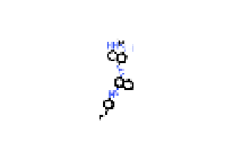 CCCc1ccc(/N=N/c2ccc(/N=N/c3ccc4c5c(cccc35)NC(C)(C)N4)c3ccccc23)cc1